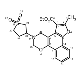 CCOC(=O)c1c(C)oc2c1c1c(c3ccccc32)OCN(C2CCS(=O)(=O)C2)C1